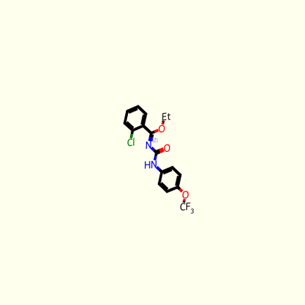 CCO/C(=N\C(=O)Nc1ccc(OC(F)(F)F)cc1)c1ccccc1Cl